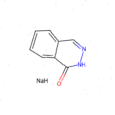 O=c1[nH]ncc2ccccc12.[NaH]